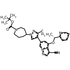 Cc1nn(C2CCCN(C(=O)OC(C)(C)C)CC2)cc1-c1cc(O[C@H](C)c2ccccn2)c2c(C#N)cnn2c1